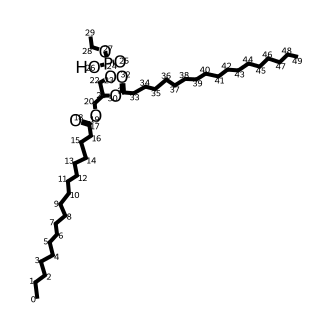 CCCCCCCCCCCCCCCCCC(=O)OCC(COP(=O)(O)OCC)OC(=O)CCCCCCCCCCCCCCCCC